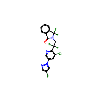 O=C1c2ccccc2C(F)(F)N1CC(F)(F)c1ncc(-n2cc(F)cn2)cc1Cl